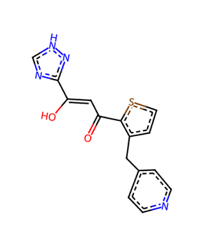 O=C(C=C(O)c1nc[nH]n1)c1sccc1Cc1ccncc1